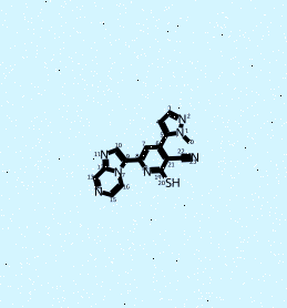 Cn1nccc1-c1cc(-c2cnc3cnccn23)nc(S)c1C#N